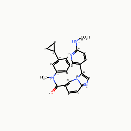 CN(C(=O)c1ccc2ncc(-c3ccc(NC(=O)O)nc3)n2c1)c1cccc(C2CC2)c1